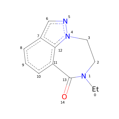 CCN1CCn2ncc3cccc(c32)C1=O